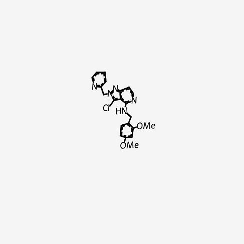 COc1ccc(CNc2nccc3nn(Cc4ccccn4)c(Cl)c23)c(OC)c1